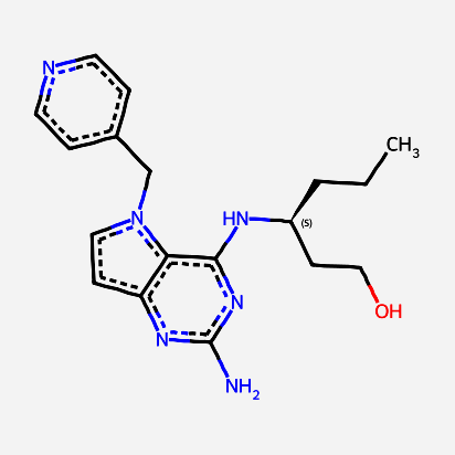 CCC[C@@H](CCO)Nc1nc(N)nc2ccn(Cc3ccncc3)c12